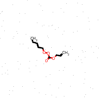 C=CCOC(=O)OOCCCCC